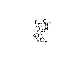 Cc1c(F)cc(C(=O)NC2CC2)cc1-c1cc2cnnc(-c3ccc(F)cc3F)c2n(C)c1=O